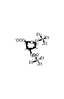 CC[N+](CC)(CC)CC.CC[N+](CC)(CC)CC.O=C([O-])c1cccc(C(=O)[O-])c1